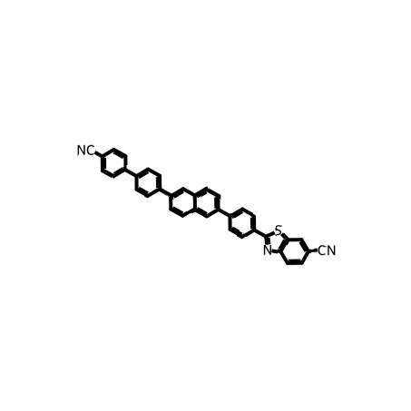 N#Cc1ccc(-c2ccc(-c3ccc4cc(-c5ccc(-c6nc7ccc(C#N)cc7s6)cc5)ccc4c3)cc2)cc1